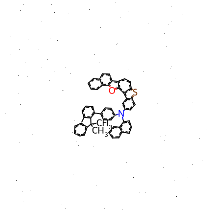 CC1(C)c2ccccc2-c2cccc(-c3ccc(N(c4ccc5sc6ccc7c8ccc9ccccc9c8oc7c6c5c4)c4cccc5ccccc45)cc3)c21